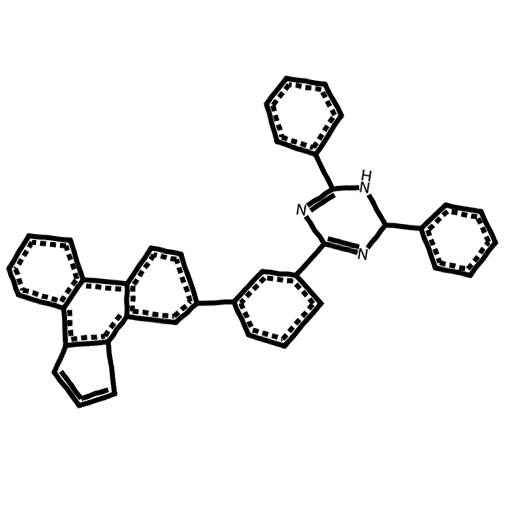 C1=Cc2c(c3cc(-c4cccc(C5=NC(c6ccccc6)NC(c6ccccc6)=N5)c4)ccc3c3ccccc23)C=1